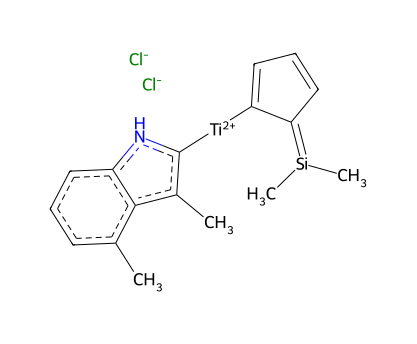 Cc1cccc2[nH][c]([Ti+2][C]3=CC=CC3=[Si](C)C)c(C)c12.[Cl-].[Cl-]